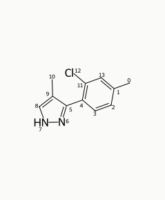 Cc1ccc(-c2n[nH]cc2C)c(Cl)c1